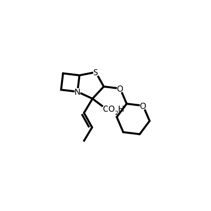 CC=CC1(C(=O)O)C(OC2CCCCO2)SC2CCN21